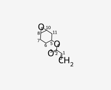 C=CC(=O)OC1CCC2OC2C1